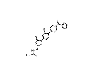 CC(=S)NCC1CN(c2ccc(N3CCN(C(=S)c4ncco4)CC3)c(F)c2)C(=O)O1